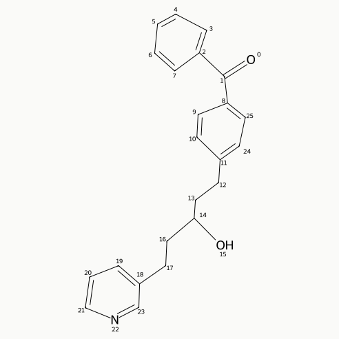 O=C(c1ccccc1)c1ccc(CCC(O)CCc2cccnc2)cc1